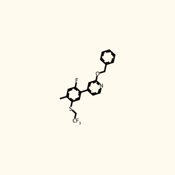 Cc1cc(F)c(-c2ccnc(OCc3ccccc3)c2)cc1SCC(F)(F)F